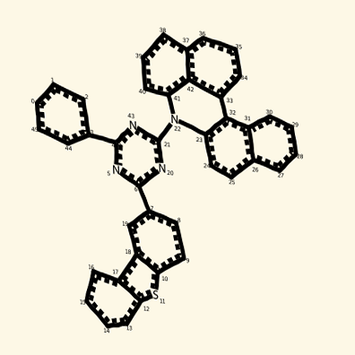 c1ccc(-c2nc(-c3ccc4sc5ccccc5c4c3)nc(N3c4ccc5ccccc5c4-c4cccc5cccc3c45)n2)cc1